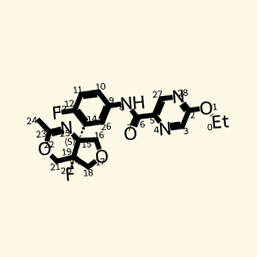 CCOc1cnc(C(=O)Nc2ccc(F)c([C@]34COC[C@@]3(F)COC(C)=N4)c2)cn1